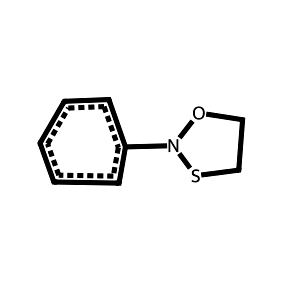 c1ccc(N2OCCS2)cc1